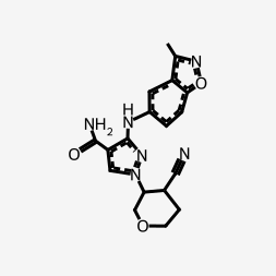 Cc1noc2ccc(Nc3nn(C4COCCC4C#N)cc3C(N)=O)cc12